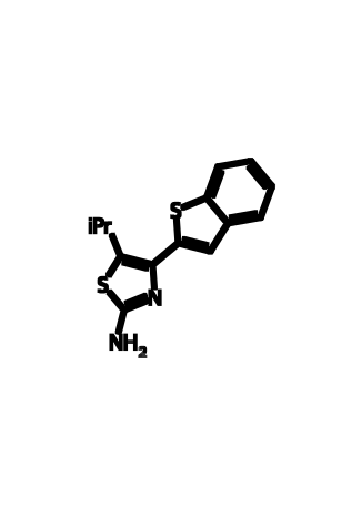 CC(C)c1sc(N)nc1-c1cc2ccccc2s1